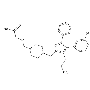 CCSc1c(-c2cccc(O)c2)c(-c2ccccc2)nn1CC1CCC(COCC(=O)O)CC1